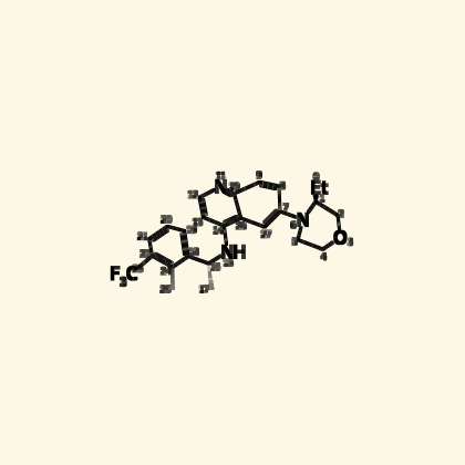 CC[C@H]1COCCN1c1ccc2nccc(N[C@H](C)c3cccc(C(F)(F)F)c3C)c2c1